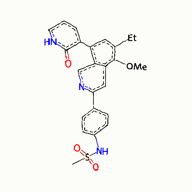 CCc1cc(-c2ccc[nH]c2=O)c2cnc(-c3ccc(NS(C)(=O)=O)cc3)cc2c1OC